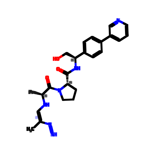 C/C(=C/N[C@H](C(=O)N1CCC[C@H]1C(=O)N[C@@H](CO)c1ccc(-c2cccnc2)cc1)C(C)C)N=N